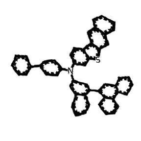 c1ccc(-c2ccc(N(c3cc(-c4cc5ccccc5c5ccccc45)c4ccccc4c3)c3ccc4c(c3)sc3cc5ccccc5cc34)cc2)cc1